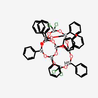 Cl[Si]1(Cl)O[SiH](c2ccccc2)O[Si]2(c3ccccc3)O[Si]3(c4ccccc4)O[SiH](c4ccccc4)O[Si]4(c5ccccc5)O[Si](c5ccccc5)(O1)O[Si](c1ccccc1)(O2)O[Si](c1ccccc1)(O[Si](Cl)(Cl)O3)O4